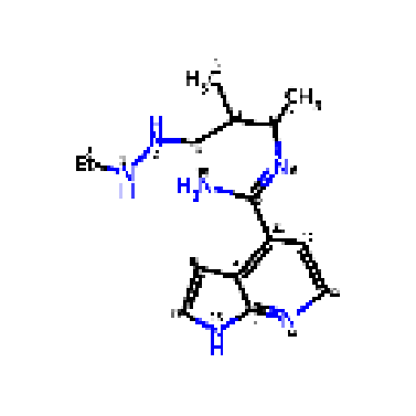 CCNNCC(C)C(C)/N=C(\N)c1ccnc2[nH]ccc12